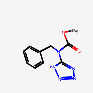 CC(C)(C)OC(=O)N(Cc1ccccc1)c1nnn[nH]1